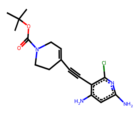 CC(C)(C)OC(=O)N1CC=C(C#Cc2c(N)cc(N)nc2Cl)CC1